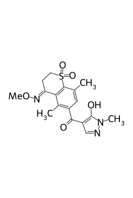 CON=C1CCS(=O)(=O)c2c(C)cc(C(=O)c3cnn(C)c3O)c(C)c21